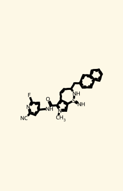 Cn1cc2c(c1C(=O)Nc1cc(F)nc(C#N)c1)C=CC(Cc1ccc3ccccc3c1)NS2=N